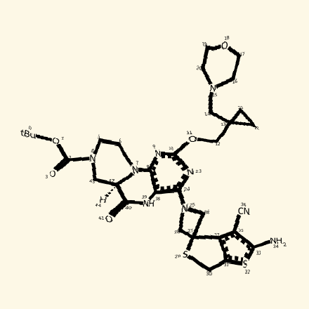 CC(C)(C)OC(=O)N1CCN2c3nc(OCC4(CN5CCOCC5)CC4)nc(N4CC5(C4)SCc4sc(N)c(C#N)c45)c3NC(=O)[C@H]2C1